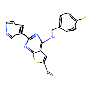 O=[N+]([O-])c1cc2c(NCc3ccc(F)cc3)nc(-c3cccnc3)nc2s1